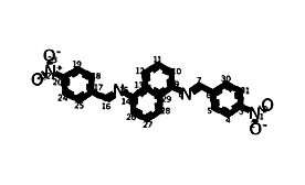 O=[N+]([O-])c1ccc(/C=N/c2cccc3c(/N=C/c4ccc([N+](=O)[O-])cc4)cccc23)cc1